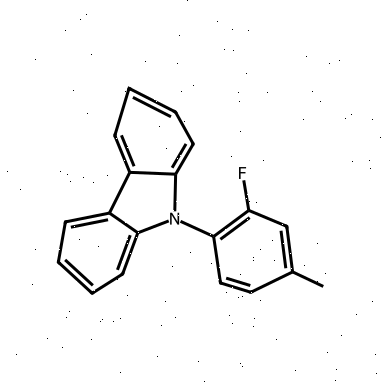 Cc1ccc(-n2c3ccccc3c3ccccc32)c(F)c1